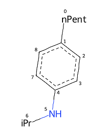 CCCCCc1ccc(NC(C)C)cc1